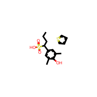 CCCC(c1cc(C)c(O)c(C)c1)S(=O)(=O)O.c1ccsc1